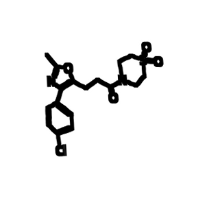 Cc1nc(-c2ccc(Cl)cc2)c(CCC(=O)N2CCS(=O)(=O)CC2)o1